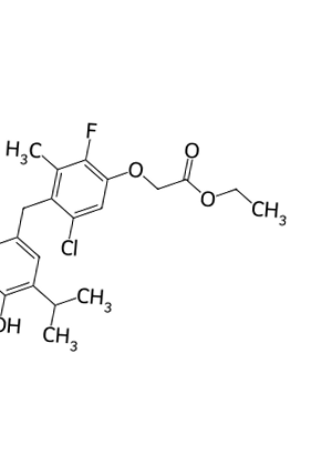 CCOC(=O)COc1cc(Cl)c(Cc2ccc(O)c(C(C)C)c2)c(C)c1F